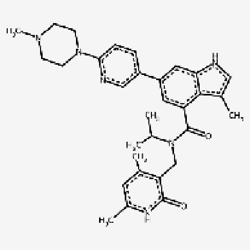 Cc1cc(C)c(CN(C(=O)c2cc(-c3ccc(N4CCN(C)CC4)nc3)cc3[nH]cc(C)c23)C(C)C)c(=O)[nH]1